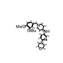 COc1ccc(CN2CCC(Nc3ccc(N4CCOCC4)nc3)CC2)cc1OCC(C)C